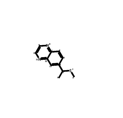 CSC(C)c1ccc2nccnc2c1